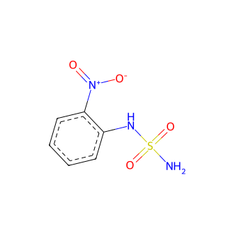 NS(=O)(=O)Nc1ccccc1[N+](=O)[O-]